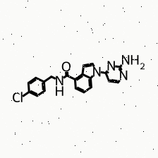 Nc1nccc(-n2ccc3c(C(=O)NCc4ccc(Cl)cc4)cccc32)n1